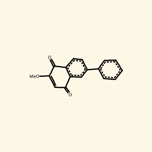 COC1=CC(=O)c2cc(-c3ccccc3)ccc2C1=O